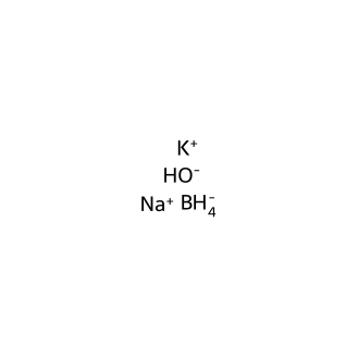 [BH4-].[K+].[Na+].[OH-]